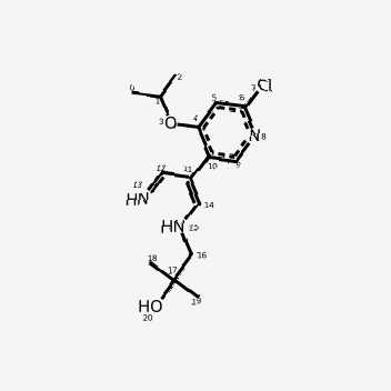 CC(C)Oc1cc(Cl)ncc1/C(C=N)=C/NCC(C)(C)O